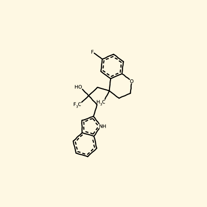 CC1(CC(O)(Cc2cc3ccccc3[nH]2)C(F)(F)F)CCOc2ccc(F)cc21